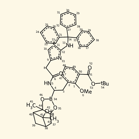 COc1c(CC(NC(=O)Cc2csc(NC(c3ccccc3)(c3ccccc3)c3ccccc3)n2)B2OC3CC4CC(C4(C)C)C3(C)O2)cccc1C(=O)OC(C)(C)C